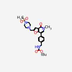 Cn1cc(-c2ccc(CNC(=O)OC(C)(C)C)cc2)c2oc(CN3CCN(S(C)(=O)=O)CC3)cc2c1=O